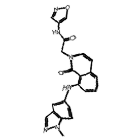 Cn1ncc2cc(Nc3cccc4ccn(CC(=O)Nc5cnoc5)c(=O)c34)ccc21